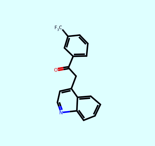 O=C(Cc1ccnc2ccccc12)c1cccc(C(F)(F)F)c1